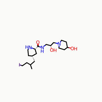 CC(CCI)C[C@@H]1CCN[C@H](C(=O)NC[C@@H](O)CN2CCC(O)CC2)C1